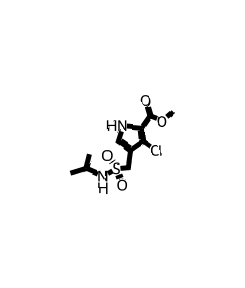 COC(=O)c1[nH]cc(CS(=O)(=O)NC(C)C)c1Cl